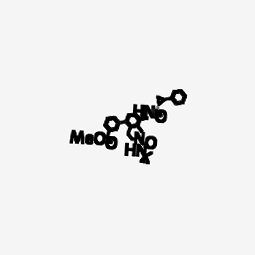 COC(=O)c1cccc(-c2ccc(CNC(=O)[C@@H]3C[C@H]3c3ccccc3)c3c2CCN(C(=O)NC2(C)CC2)C3)c1